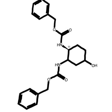 O=C(NC1CC(O)CC[C@@H]1NC(=O)OCc1ccccc1)OCc1ccccc1